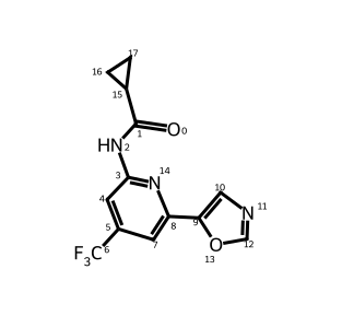 O=C(Nc1cc(C(F)(F)F)cc(-c2cnco2)n1)C1CC1